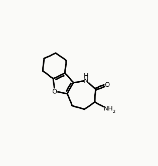 NC1CCc2oc3c(c2NC1=O)CCCC3